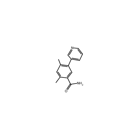 Cc1cc(C)c(-c2cccnc2)cc1C(N)=O